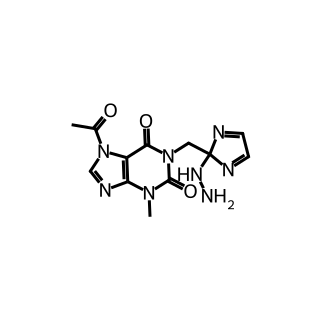 CC(=O)n1cnc2c1c(=O)n(CC1(NN)N=CC=N1)c(=O)n2C